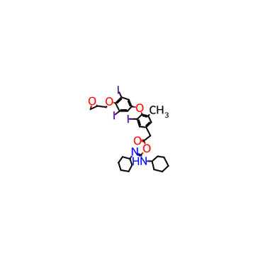 Cc1cc(CC(=O)O/C(=N/C2CCCCC2)NC2CCCCC2)cc(I)c1Oc1cc(I)c(OCC2CO2)c(I)c1